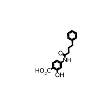 O=C(CCCc1ccccc1)Nc1ccc(C(=O)O)c(O)c1